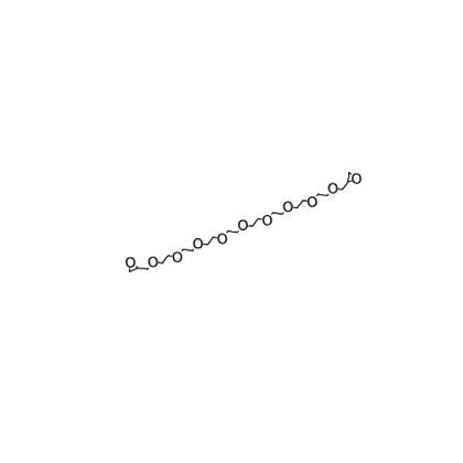 C(COCCOCCOCCOCC1CO1)OCCOCCOCCOCCOCC1CO1